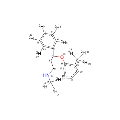 [2H]c1c([2H])c([2H])c(C(CCNC([2H])([2H])[2H])Oc2ccccc2C([2H])([2H])[2H])c([2H])c1[2H]